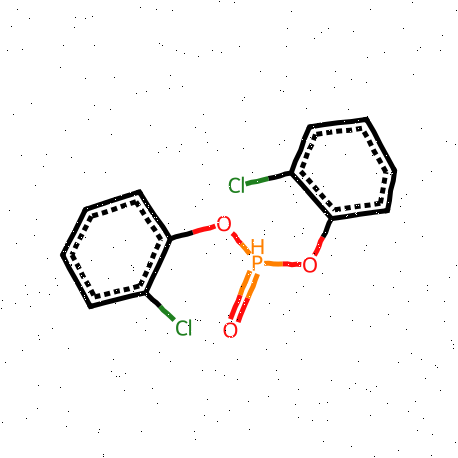 O=[PH](Oc1ccccc1Cl)Oc1ccccc1Cl